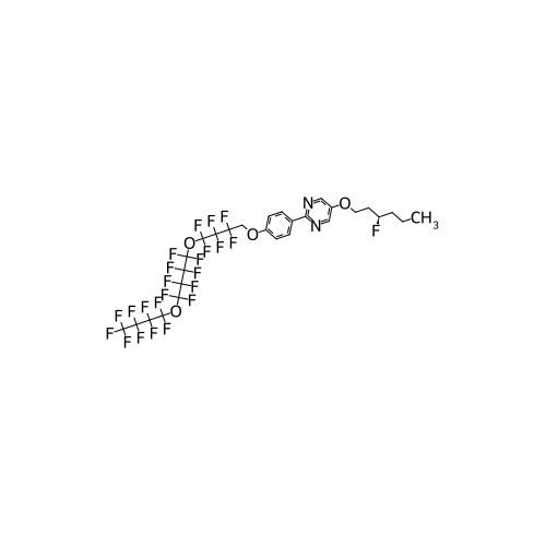 CCC[C@@H](F)CCOc1cnc(-c2ccc(OCC(F)(F)C(F)(F)C(F)(F)OC(F)(F)C(F)(F)C(F)(F)C(F)(F)OC(F)(F)C(F)(F)C(F)(F)C(F)(F)F)cc2)nc1